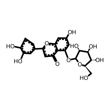 O=c1cc(-c2ccc(O)c(O)c2)oc2cc(O)cc(OC3O[C@H](CO)[C@@H](O)[C@H](O)[C@H]3O)c12